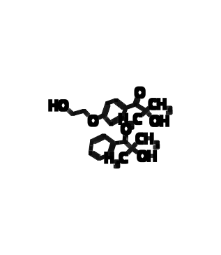 CC(C)(O)C(=O)c1ccc(OCCO)cc1.CC(C)(O)C(=O)c1ccccc1